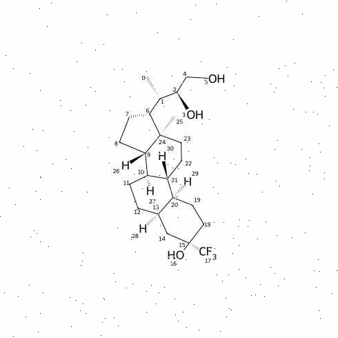 C[C@H]([C@H](O)CO)[C@H]1CC[C@H]2[C@@H]3CC[C@@H]4C[C@@](O)(C(F)(F)F)CC[C@@H]4[C@H]3CC[C@]12C